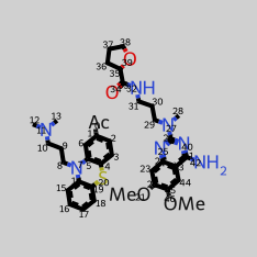 CC(=O)c1ccc2c(c1)N(CCCN(C)C)c1ccccc1S2.COc1cc2nc(N(C)CCCNC(=O)C3CCCO3)nc(N)c2cc1OC